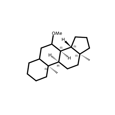 COC1CC2CCCC[C@]2(C)[C@@H]2CC[C@]3(C)CCC[C@H]3[C@H]12